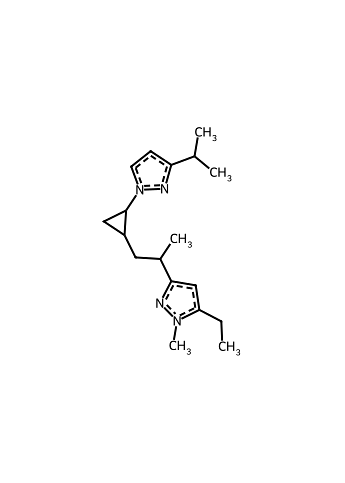 CCc1cc(C(C)CC2CC2n2ccc(C(C)C)n2)nn1C